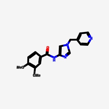 COc1ccc(C(=O)Nc2cn(Cc3ccncc3)cn2)cc1OC